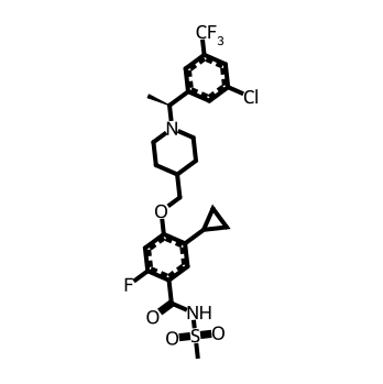 C[C@@H](c1cc(Cl)cc(C(F)(F)F)c1)N1CCC(COc2cc(F)c(C(=O)NS(C)(=O)=O)cc2C2CC2)CC1